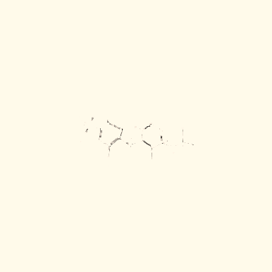 Cc1c(Nc2ccc(S(C)(=O)=O)cc2F)ncnc1OC(C)C